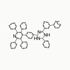 c1ccc(-c2cccc(C3=NC(c4ccc(-c5c(-c6ccccc6)c(-c6ccccc6)nc(-c6ccccc6)c5-c5ccccc5)cc4)NC(c4ccccc4)N3)c2)cc1